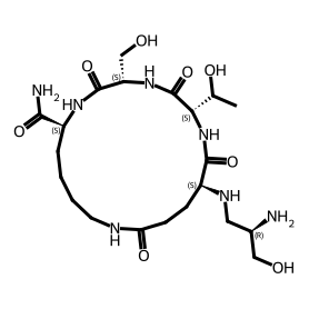 CC(O)[C@@H]1NC(=O)[C@@H](NC[C@@H](N)CO)CCC(=O)NCCCC[C@@H](C(N)=O)NC(=O)[C@H](CO)NC1=O